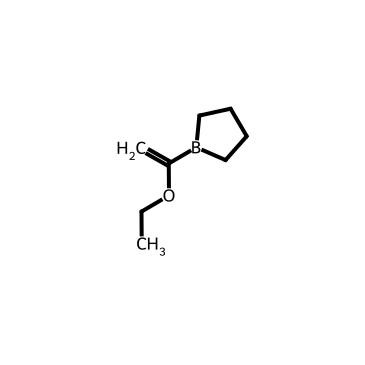 C=C(OCC)B1CCCC1